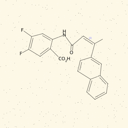 C/C(=C/C(=O)Nc1cc(F)c(F)cc1C(=O)O)c1ccc2ccccc2c1